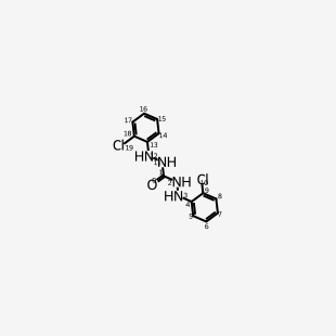 O=C(NNc1ccccc1Cl)NNc1ccccc1Cl